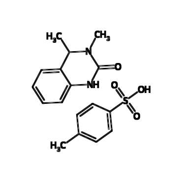 CC1c2ccccc2NC(=O)N1C.Cc1ccc(S(=O)(=O)O)cc1